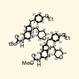 CCOc1ccc(Cc2cc3cc(NC(=O)C(C)(C)C)cnc3n2CC2CCOCC2)cc1.CCOc1ccc(Cc2cc3cc(NC(=O)OC)cnc3n2CC2CCOCC2)cc1